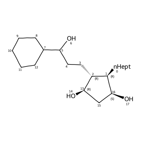 CCCCCCC[C@@H]1[C@@H](CCC(O)C2CCCCC2)[C@H](O)C[C@@H]1O